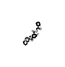 O=C(COC(=O)c1cc(S(=O)(=O)N2CCN3CCCCC3C2)ccc1Cl)c1ccccc1